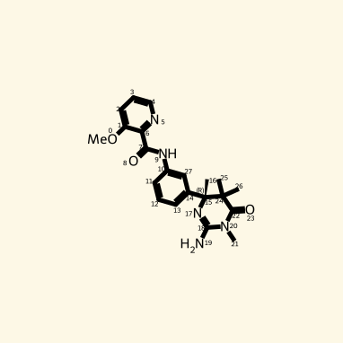 COc1cccnc1C(=O)Nc1cccc([C@@]2(C)N=C(N)N(C)C(=O)C2(C)C)c1